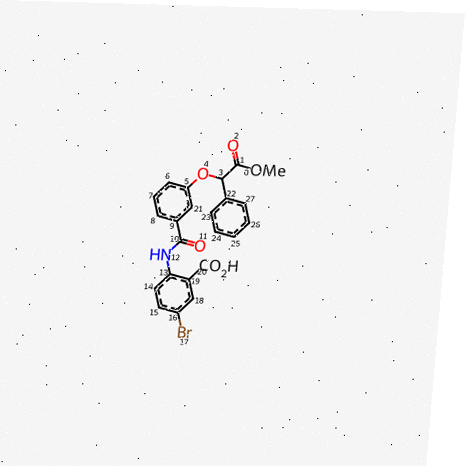 COC(=O)C(Oc1cccc(C(=O)Nc2ccc(Br)cc2C(=O)O)c1)c1ccccc1